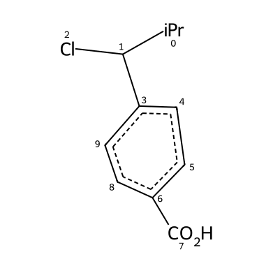 CC(C)C(Cl)c1ccc(C(=O)O)cc1